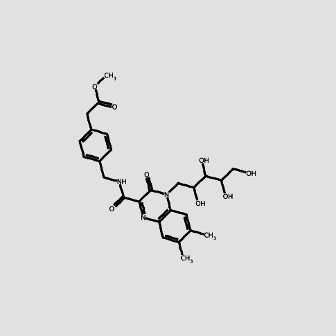 COC(=O)Cc1ccc(CNC(=O)c2nc3cc(C)c(C)cc3n(CC(O)C(O)C(O)CO)c2=O)cc1